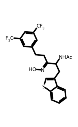 CC(=O)NC(Cc1csc2ccccc12)C(CCc1cc(C(F)(F)F)cc(C(F)(F)F)c1)=NO